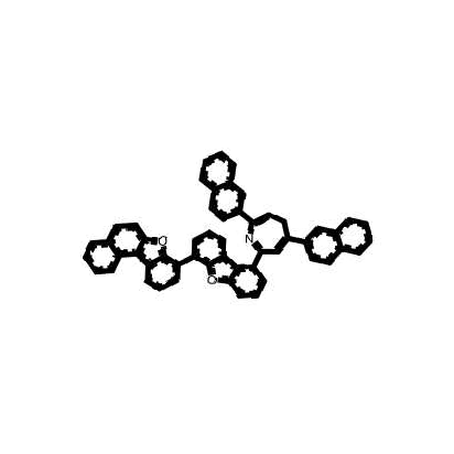 C1=C(c2ccc3ccccc3c2)CC=C(c2ccc3ccccc3c2)N=C1c1cccc2oc3c(-c4cccc5c4oc4ccc6ccccc6c45)cccc3c12